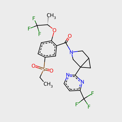 CCS(=O)(=O)c1ccc(O[C@@H](C)C(F)(F)F)c(C(=O)N2CC3CC3(c3nccc(C(F)(F)F)n3)C2)c1